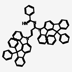 N=C(/N=C(\C=C\n1c2ccccc2c2c3c(ccc21)-c1ccccc1C3(c1ccccc1)c1ccccc1)n1c2ccccc2c2c3c(ccc21)-c1ccccc1C3(c1ccccc1)c1ccccc1)c1ccccc1